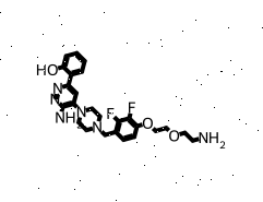 NCCOCCOc1ccc(CN2CCN(c3cc(-c4ccccc4O)nnc3N)CC2)c(F)c1F